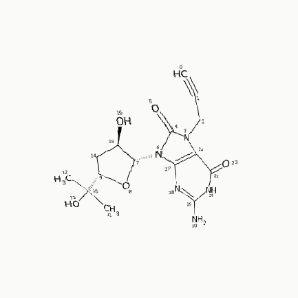 C#CCn1c(=O)n([C@@H]2O[C@H](C(C)(C)O)C[C@H]2O)c2nc(N)[nH]c(=O)c21